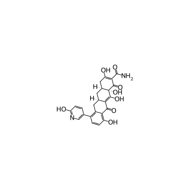 NC(=O)C1=C(O)C[C@@H]2C[C@@H]3Cc4c(-c5ccc(O)nc5)ccc(O)c4C(=O)C3=C(O)[C@]2(O)C1=O